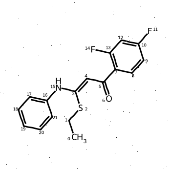 CCSC(=CC(=O)c1ccc(F)cc1F)Nc1ccccc1